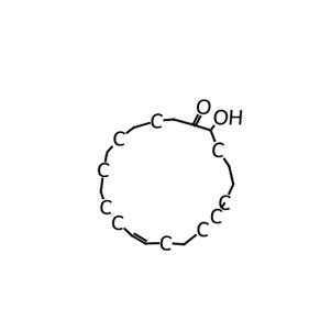 O=C1CCCCCCCCCC=CCCCCCCCCC1O